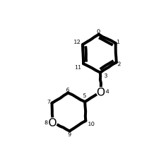 c1ccc(OC2CCOCC2)cc1